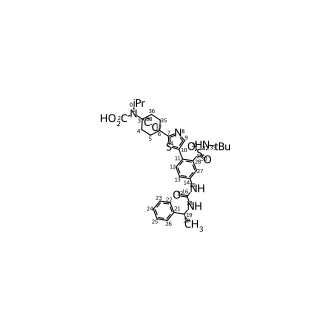 CC(C)N(C(=O)O)C12CCC(c3ncc(-c4ccc(NC(=O)N[C@@H](C)c5ccccc5)cc4S(=O)(=O)NC(C)(C)C)s3)(CC1)CC2